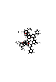 Cc1nc(C)nc(-c2ccc3c(c2)c2cc(-c4nc(C)nc(C)n4)ccc2n3-c2c(-c3cc(-c4ccccc4)nc(-c4ccccc4)n3)cc(C#N)cc2-c2nc(-c3ccccc3)cc(-c3ccccc3)n2)n1